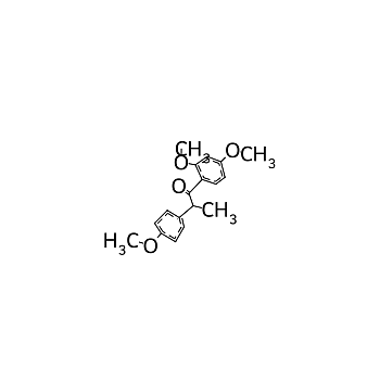 COc1ccc(C(C)C(=O)c2ccc(OC)cc2OC)cc1